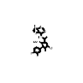 COc1c(C(C)Nc2ncnc3[nH]cnc23)cc(Cl)c(C)c1-c1ccc(F)c(Cl)c1